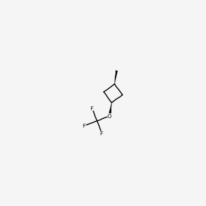 C[C@H]1C[C@@H](OC(F)(F)F)C1